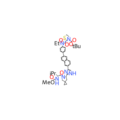 CC[N+]([O-])(C(=O)C1SCCN1C(=O)OC(C)(C)C)c1ccc(-c2ccc3cc(-c4c[nH]c(C5CC6(CC6)CN5C(=O)C(NC(=O)OC)C(C)C)n4)ccc3c2)cc1